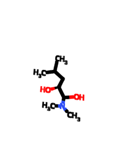 CC(C)C[C@H](O)C(O)N(C)C